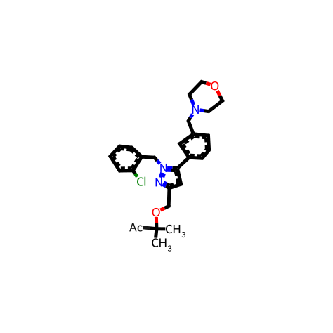 CC(=O)C(C)(C)OCc1cc(-c2cccc(CN3CCOCC3)c2)n(Cc2ccccc2Cl)n1